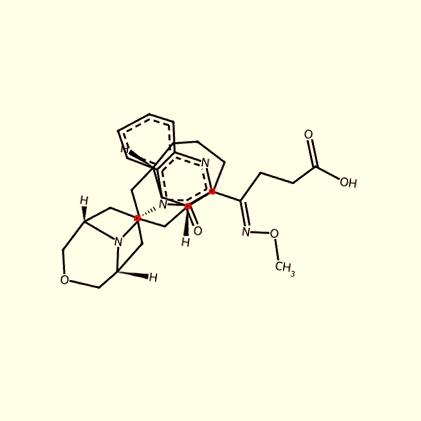 CO/N=C(\CCC(=O)O)c1nc2ccccc2n([C@H]2C[C@H]3COC[C@@H](C2)N3C2C[C@H]3CCCC[C@@H](C2)C3)c1=O